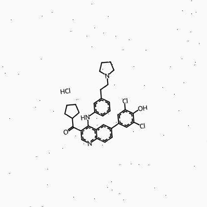 Cl.O=C(c1cnc2ccc(-c3cc(Cl)c(O)c(Cl)c3)cc2c1Nc1cccc(CCN2CCCC2)c1)C1CCCC1